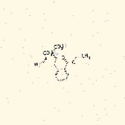 C=CC(=O)O.C=COC(=O)c1ccccc1C/C=C/C(=O)O